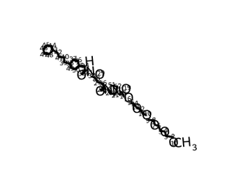 COCCOCCOCCOCCOCCOCC(=O)N1CCN(C(=O)CCC(=O)CNC(=O)Cc2ccc(CCCCc3ccccc3)cc2)CC1